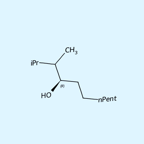 CCCCCCC[C@@H](O)C(C)C(C)C